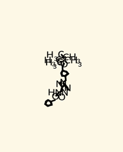 CC(C)(C)[Si](C)(C)OCc1ccc(Cn2cnc3c(NC(=O)OCc4ccccc4)ncnc32)cc1